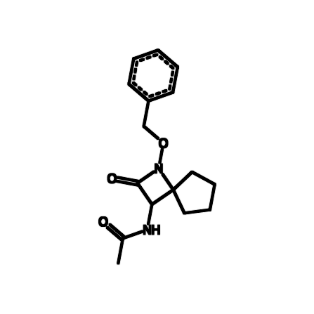 CC(=O)NC1C(=O)N(OCc2ccccc2)C12CCCC2